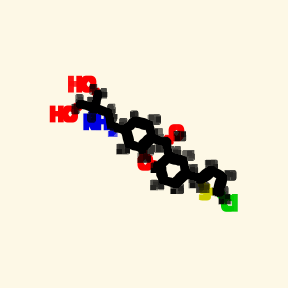 NC(CO)(CO)CCc1ccc2c(=O)c3cc(-c4ccc(Cl)s4)ccc3oc2c1